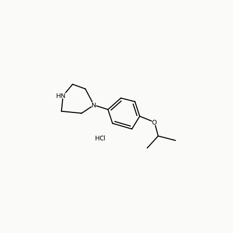 CC(C)Oc1ccc(N2CCNCC2)cc1.Cl